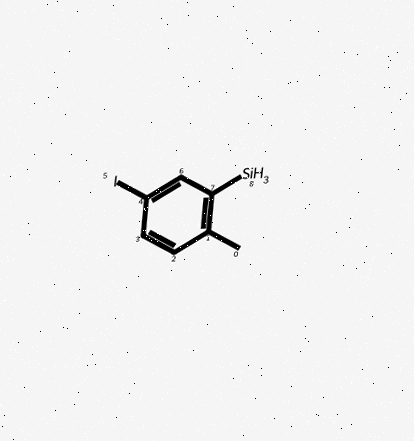 Cc1ccc(I)cc1[SiH3]